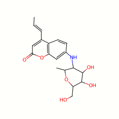 C/C=C/c1cc(=O)oc2cc(NC3C(C)OC(CO)C(O)C3O)ccc12